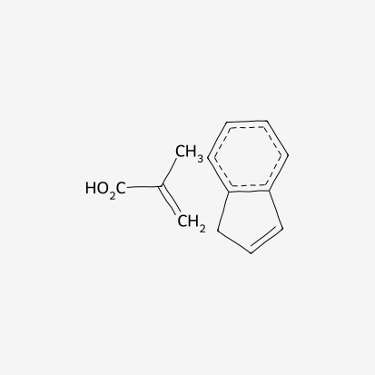 C1=Cc2ccccc2C1.C=C(C)C(=O)O